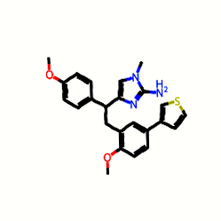 COc1ccc(C(Cc2cc(-c3ccsc3)ccc2OC)c2cn(C)c(N)n2)cc1